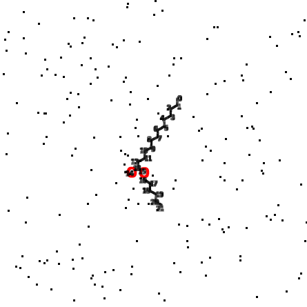 CCCCCCCCCCCCCC([O])OCCCCCC